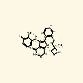 Cc1c(F)cccc1Nc1c(-c2ccncc2OC[C@]2(C)CCO2)[nH]c2c1C(=O)NCC2